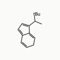 CC(C1=CC=C2C=CCC=C21)C(C)(C)C